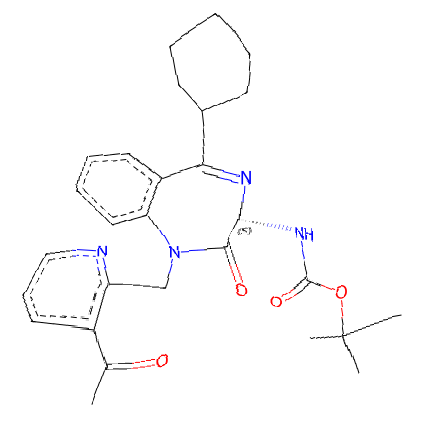 CC(=O)c1cccnc1CN1C(=O)[C@@H](NC(=O)OC(C)(C)C)N=C(C2CCCCC2)c2ccccc21